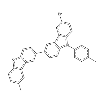 Cc1ccc(-n2c3ccc(Br)cc3c3cc(-c4ccc5sc6ccc(C)cc6c5c4)ccc32)cc1